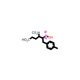 Cc1ccc(CC(C(CCC(=O)O)C(=O)O)[PH](=O)O)cc1